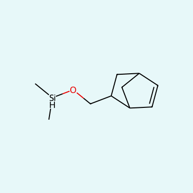 C[SiH](C)OCC1CC2C=CC1C2